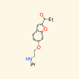 CCC(=O)c1cc2ccc(OCCNC(C)C)cc2o1